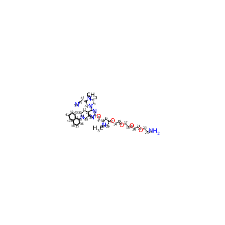 CN1CCN(c2nc(OC[C@@H]3C[C@@H](OCCOCCOCCOCCN)CN3C)nc3c2CCN(c2cccc4ccccc24)C3)C[C@@H]1CC#N